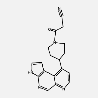 N#CCC(=O)N1CCC(c2ccnc3cnc4[nH]ccc4c23)CC1